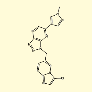 Cn1cc(-c2cnc3nnn(Cc4ccc5ncc(Cl)n5c4)c3n2)cn1